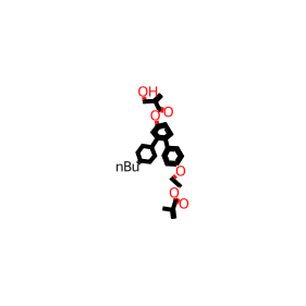 C=C(C)C(=O)OCCOc1ccc(-c2ccc(OC(=O)C(=C)CO)cc2C2CCC(CCCC)CC2)cc1